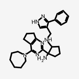 NC1(c2nc3c(c(N4CCCCCC4)n2)CCC3)CCCC1NCc1c[nH]nc1-c1ccccc1